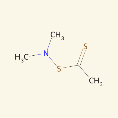 CC(=S)SN(C)C